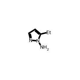 CCc1ccnn1N